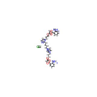 Nc1ccccc1C1OC=C(OCCCN2[C+]N(CCCCC3=[N+]C=CN3CCCOC3=COC(c4ccccc4N)O3)C=C2)O1.[Cl-].[Cl-]